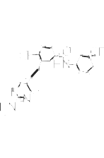 Nc1ncc(C#Cc2cc(C(=O)Nc3cccc(C(F)(F)F)c3)ccc2Cl)cn1